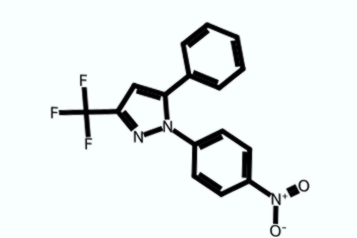 O=[N+]([O-])c1ccc(-n2nc(C(F)(F)F)cc2-c2ccccc2)cc1